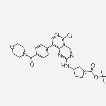 CC(C)(C)OC(=O)N1CCC(Nc2ncc3c(Cl)ncc(-c4ccc(C(=O)N5CCOCC5)cc4)c3n2)C1